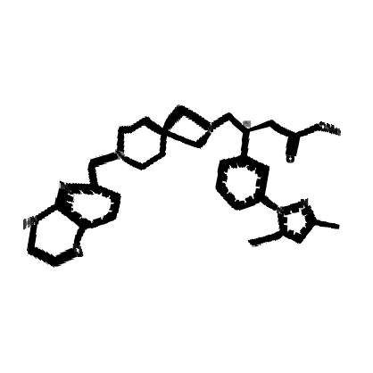 COC(=O)C[C@H](CN1CC2(CCN(Cc3ccc4c(n3)NCCO4)CC2)C1)c1cccc(-n2nc(C)cc2C)c1